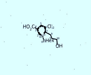 CCCCCC[n+]1cc(C(=O)O)ccc1CCCO.[Cl-]